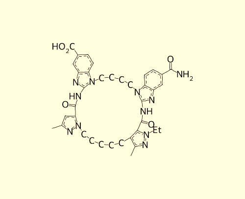 CCn1nc(C)c2c1C(=O)Nc1nc3cc(C(N)=O)ccc3n1CCCCn1c(nc3cc(C(=O)O)ccc31)NC(=O)c1cc(C)nn1CCCCC2